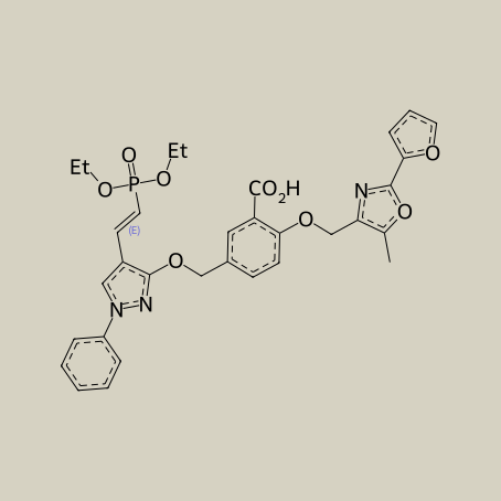 CCOP(=O)(/C=C/c1cn(-c2ccccc2)nc1OCc1ccc(OCc2nc(-c3ccco3)oc2C)c(C(=O)O)c1)OCC